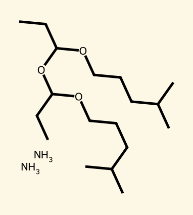 CCC(OCCCC(C)C)OC(CC)OCCCC(C)C.N.N